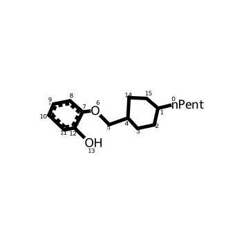 CCCCCC1CCC(COc2c[c]ccc2O)CC1